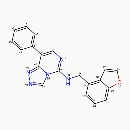 c1ccc(-c2cnc(NCc3cccc4occc34)n3cnnc23)cc1